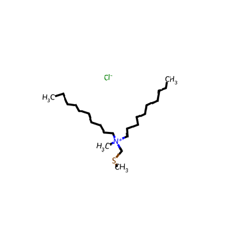 CCCCCCCCCC[N+](C)(CCCCCCCCCC)CSC.[Cl-]